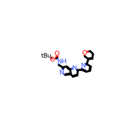 CC(C)(C)OC(=O)NCc1cc2nc(-c3cccc(C4=CCCOC4)n3)ccc2cn1